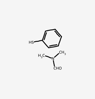 CN(C)C=O.Sc1ccccc1